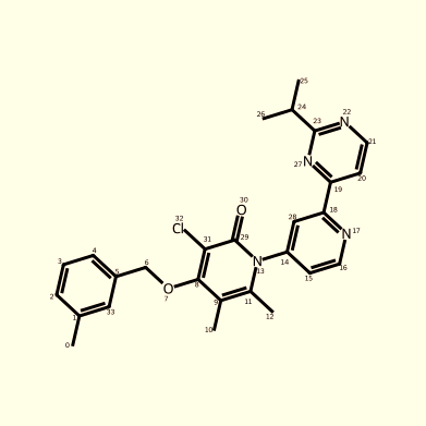 Cc1cccc(COc2c(C)c(C)n(-c3ccnc(-c4ccnc(C(C)C)n4)c3)c(=O)c2Cl)c1